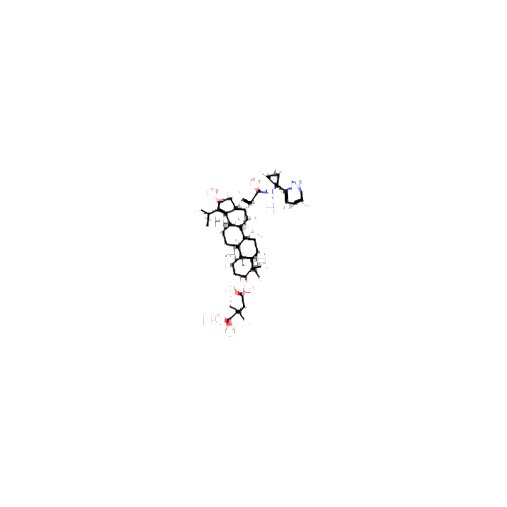 CC(C)C1=C2[C@H]3CC[C@@H]4[C@@]5(C)CC[C@H](OC(=O)CC(C)(C)C(=O)O)C(C)(C)[C@@H]5CC[C@@]4(C)[C@]3(C)CC[C@@]2(C=CC(=O)NC2(c3ccccn3)CC2)CC1=O